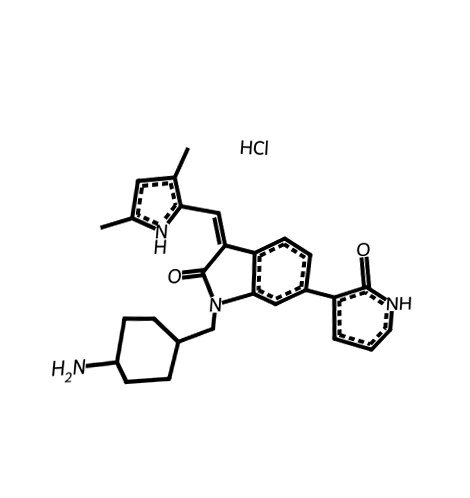 Cc1cc(C)c(/C=C2\C(=O)N(CC3CCC(N)CC3)c3cc(-c4ccc[nH]c4=O)ccc32)[nH]1.Cl